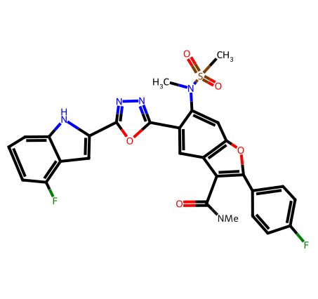 CNC(=O)c1c(-c2ccc(F)cc2)oc2cc(N(C)S(C)(=O)=O)c(-c3nnc(-c4cc5c(F)cccc5[nH]4)o3)cc12